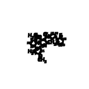 C=C1N=C(c2cccc(OC)c2)N(c2c(OC)cccc2OC)C(O)=C1C(=O)N1CCC(c2ncccc2F)C1